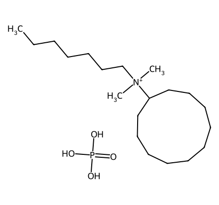 CCCCCCC[N+](C)(C)C1CCCCCCCCCC1.O=P(O)(O)O